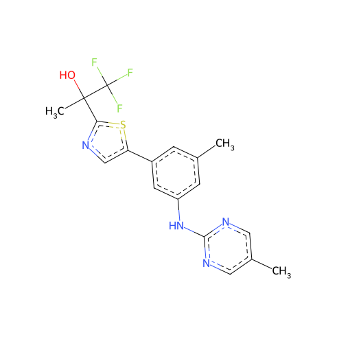 Cc1cnc(Nc2cc(C)cc(-c3cnc(C(C)(O)C(F)(F)F)s3)c2)nc1